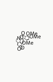 COC1=C(OC)C2C(=O)O[C@](I)([C@H]3c4c(cc5c(c4OC)OCO5)CCN3C)C2C=C1